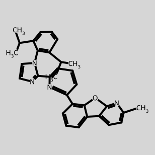 Cc1ccc2c(n1)oc1c(-c3cccc(-c4nccn4-c4c(C(C)C)cccc4C(C)C)n3)cccc12